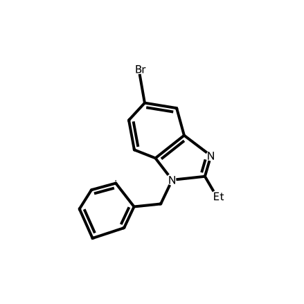 CCc1nc2cc(Br)ccc2n1Cc1[c]cccc1